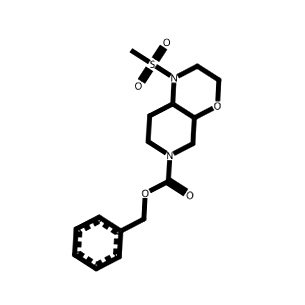 CS(=O)(=O)N1CCOC2CN(C(=O)OCc3ccccc3)CCC21